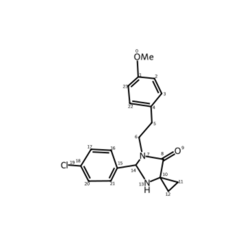 COc1ccc(CCN2C(=O)C3(CC3)NC2c2ccc(Cl)cc2)cc1